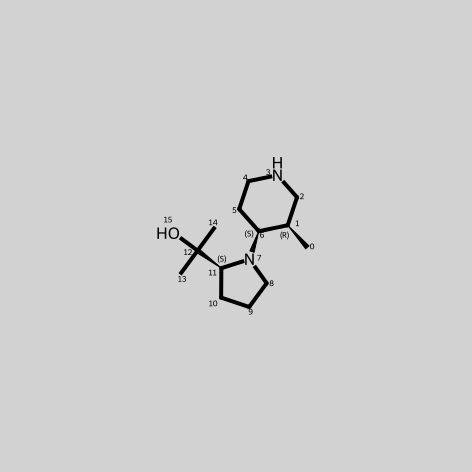 C[C@@H]1CNCC[C@@H]1N1CCC[C@H]1C(C)(C)O